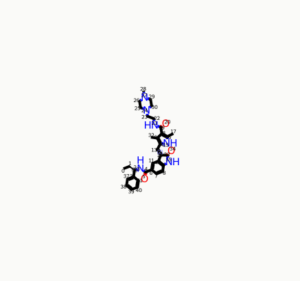 CC[C@@H](NC(=O)c1ccc2c(c1)/C(=C/c1[nH]c(C)c(C(=O)NCCN3CCN(C)CC3)c1C)C(=O)N2)c1ccccc1